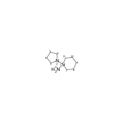 N[Si]1(N2CCCC2)CCCCC1